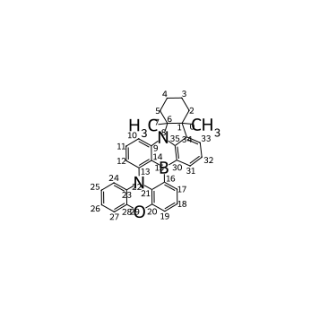 CC12CCCCC1(C)N1c3cccc4c3B(c3cccc5c3N4c3ccccc3O5)c3cccc2c31